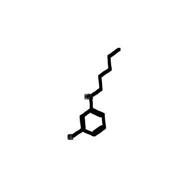 CCCCCNc1cccc(Cl)c1